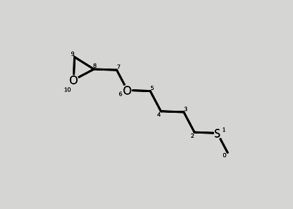 CSCCCCOCC1CO1